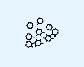 c1ccc(N(c2ccccc2)c2cc3c4c(c2)N(c2ccccc2)c2c5c(cc6oc7ccccc7c26)Oc2cc6oc7ccccc7c6c(c2B45)N3c2ccccc2)cc1